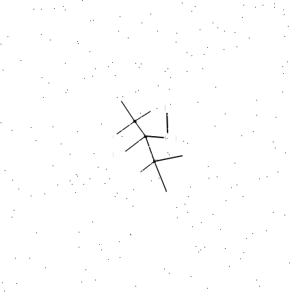 BC(BCC)(C(C)(C)CC)C(C)(C)C(F)(F)F